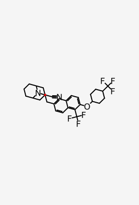 N#CC1CC2CCCC(C1)N2CCc1ccc2c(C(F)(F)F)c(OC3CCC(C(F)(F)F)CC3)ccc2c1